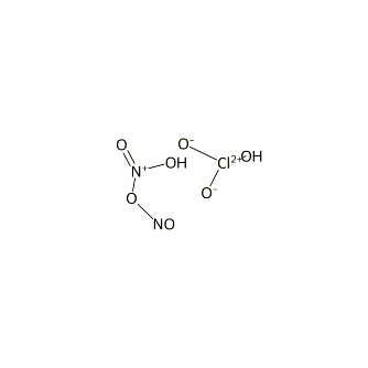 O=NO[N+](=O)O.[O-][Cl+2]([O-])O